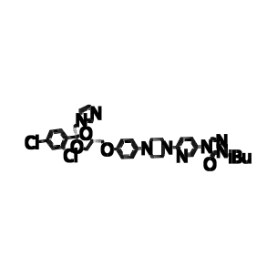 CC[C@@H](C)n1ncn(-c2ccc(N3CCN(c4ccc(OC[C@@H]5CO[C@@](Cn6ccnc6)(c6ccc(Cl)cc6Cl)O5)cc4)CC3)nc2)c1=O